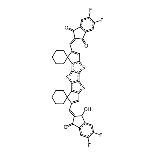 O=C1C(=CC2=Cc3sc4c(sc5c6c(sc54)C=C(/C=C4/C(=O)c5cc(F)c(F)cc5C4O)C64CCCCC4)c3C23CCCCC3)C(=O)c2cc(F)c(F)cc21